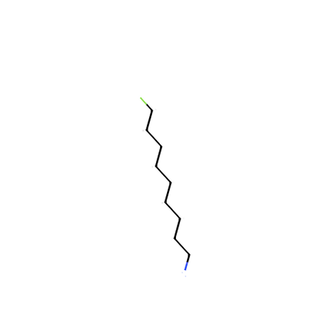 [N]CCCCCCCCCF